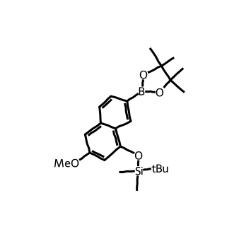 COc1cc(O[Si](C)(C)C(C)(C)C)c2cc(B3OC(C)(C)C(C)(C)O3)ccc2c1